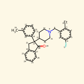 CCc1ccc(F)cc1CN1CCC(C2(c3cccc(C)c3)Cc3ccccc3C2=O)CC1